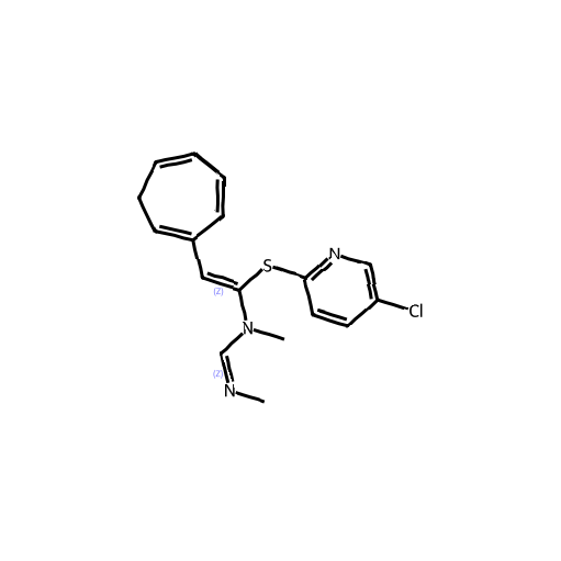 C/N=C\N(C)/C(=C/C1=CCC=CC=C1)Sc1ccc(Cl)cn1